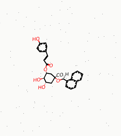 O=C(/C=C/c1ccc(O)cc1)O[C@@H]1C[C@](OCc2cccc3ccccc23)(C(=O)O)C[C@H](O)[C@H]1O